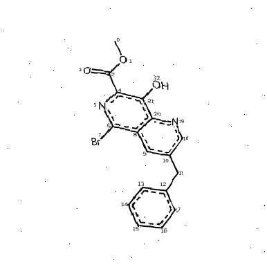 COC(=O)c1nc(Br)c2cc(Cc3ccccc3)cnc2c1O